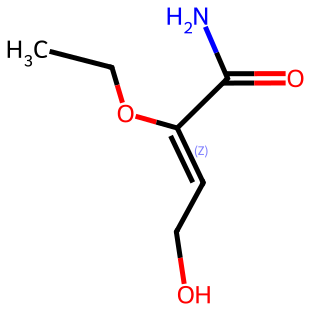 CCO/C(=C\CO)C(N)=O